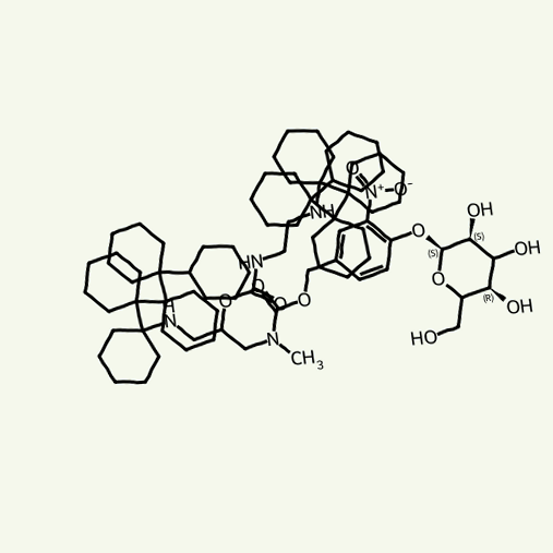 CN(CC(CNC1(C2(C3(C4(C5CCCCC5)CCCCC4)CCCCC3)CCCCC2)CCCCC1)OC(=O)NCCNC1(C2(C3(C4(C5CCCCC5)CCCCC4)CCCCC3)CCCCC2)CCCCC1)C(=O)OCc1ccc(O[C@@H]2OC(CO)[C@H](O)C(O)[C@@H]2O)c([N+](=O)[O-])c1